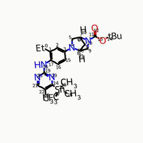 CCc1cc(N2C[C@@H]3C[C@H]2CN3C(=O)OC(C)(C)C)ccc1Nc1ncc(C(F)(F)F)[c]([Sn]([CH3])([CH3])[CH3])n1